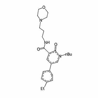 CCCCn1cc(-c2ccc(CC)cc2)cc(C(=O)NCCCN2CCOCC2)c1=O